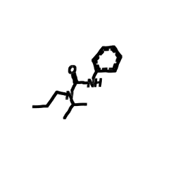 CCCN(C(=O)Nc1ccccc1)C(C)C